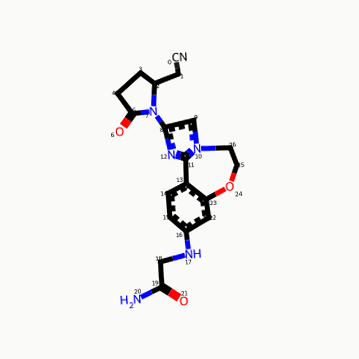 N#CCC1CCC(=O)N1c1cn2c(n1)-c1ccc(NCC(N)=O)cc1OCC2